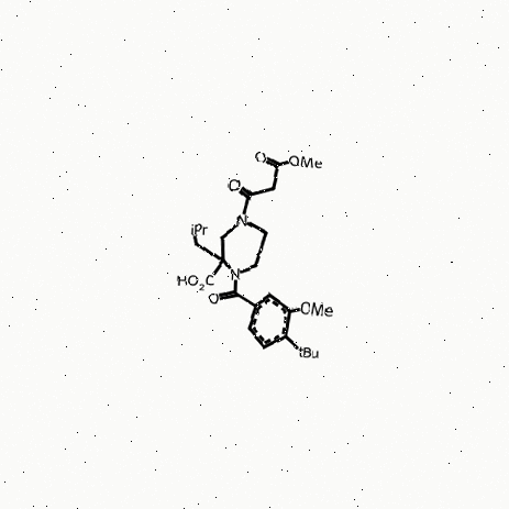 COC(=O)CC(=O)N1CCN(C(=O)c2ccc(C(C)(C)C)c(OC)c2)C(CC(C)C)(C(=O)O)C1